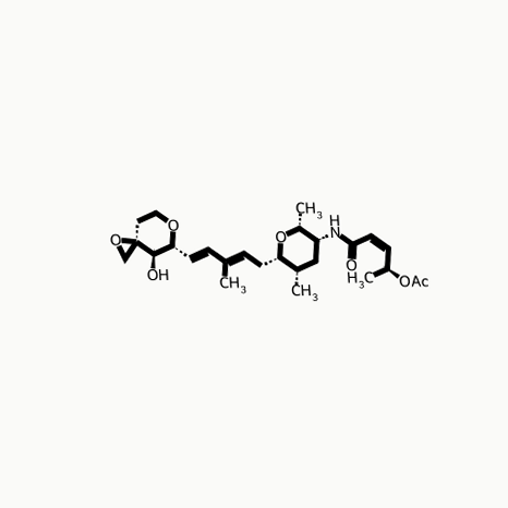 CC(=O)O[C@@H](C)/C=C\C(=O)N[C@@H]1C[C@H](C)[C@H](C/C=C(C)/C=C/[C@H]2OCC[C@@]3(CO3)[C@@H]2O)O[C@@H]1C